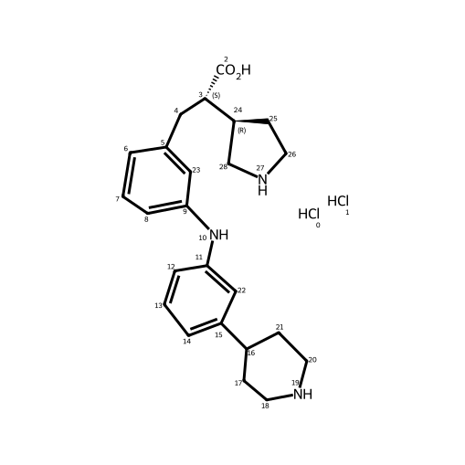 Cl.Cl.O=C(O)[C@@H](Cc1cccc(Nc2cccc(C3CCNCC3)c2)c1)[C@H]1CCNC1